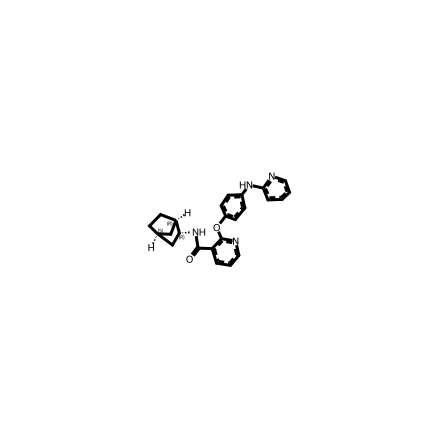 O=C(N[C@@H]1C[C@H]2CC[C@@H]1C2)c1cccnc1Oc1ccc(Nc2ccccn2)cc1